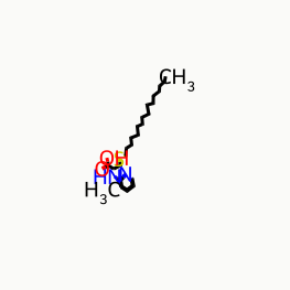 CCCCCCCCCCCCCCCCSCC(Nc1ncccc1C)C(=O)O